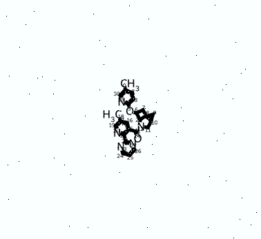 Cc1ccc(OC2CC34CC3CN(C(=O)c3cc(C)cnc3-c3ncccn3)C24)nc1